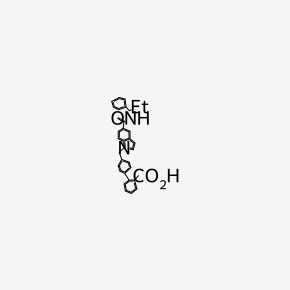 CCC(NC(=O)c1ccc2c(ccn2Cc2ccc(-c3ccccc3C(=O)O)cc2)c1)c1ccccc1